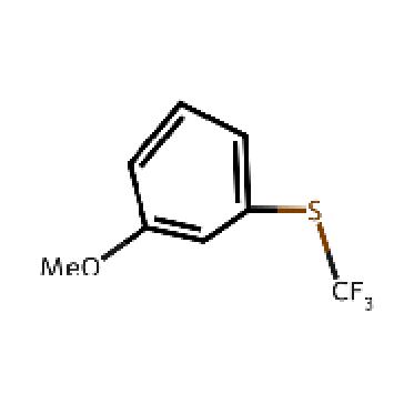 COc1cccc(SC(F)(F)F)c1